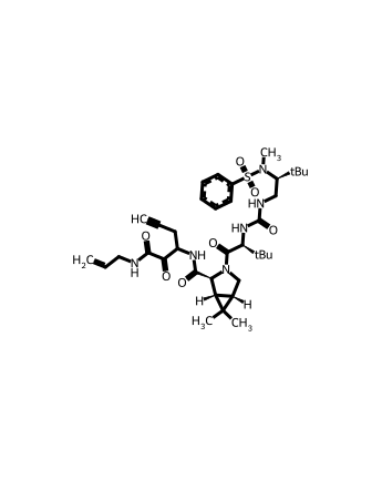 C#CCC(NC(=O)[C@@H]1[C@@H]2[C@H](CN1C(=O)[C@@H](NC(=O)NC[C@@H](N(C)S(=O)(=O)c1ccccc1)C(C)(C)C)C(C)(C)C)C2(C)C)C(=O)C(=O)NCC=C